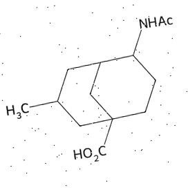 CC(=O)NC1CCC2(C(=O)O)CC(C)CC1C2